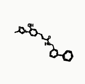 Cc1cn(-c2ccc(/C=C/C(=O)NCc3cccc(-c4ccccc4)c3)cc2O)cn1